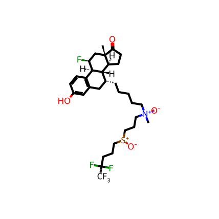 C[C@]12C[C@H](F)[C@@H]3c4ccc(O)cc4C[C@@H](CCCCC[N+](C)([O-])CCC[S+]([O-])CCCC(F)(F)C(F)(F)F)[C@H]3[C@@H]1CCC2=O